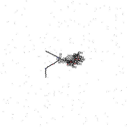 CCCCCCCC/C=C\CCCCCCCCCCCCCC(=O)N[C@@H](CO[C@@H]1OC(CO)[C@@H](O[C@@H]2OC(CO)[C@H](O[C@@H]3OC(CO)[C@H](O)[C@H](O[C@@H]4OC(CO)[C@H](O[C@@H]5OC(CO)[C@H](O)[C@H](O)C5NC(C)=O)[C@H](O[C@]5(C(=O)O)CC(O)[C@@H](NC(=O)CO)C([C@H](O)[C@H](O)CO)O5)C4O)C3NC(C)=O)[C@H](O)C2O)[C@H](O)C1O)[C@H](O)/C=C/CCCCCCCCCCCCC